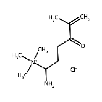 C=C(C)C(=O)CCC(N)[N+](C)(C)C.[Cl-]